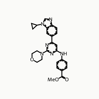 COC(=O)c1ccc(Nc2cc(-c3ccc4ncn(C5CC5)c4c3)nc(N3CCOCC3)n2)cc1